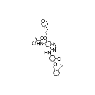 C=C(Cl)C(=O)Nc1cc2c(Nc3ccc(OCc4ccccc4C4CC4)c(Cl)c3)ncnc2cc1OCCCN1CCOCC1